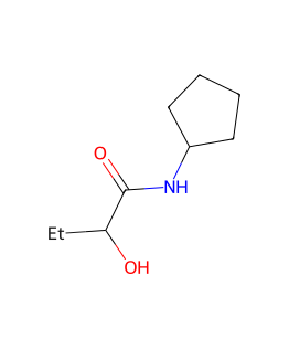 CCC(O)C(=O)NC1CCCC1